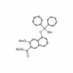 COC(=O)c1cc2cccc(O[Si](c3ccccc3)(c3ccccc3)C(C)(C)C)c2cc1OC